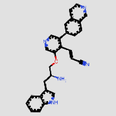 N#C/C=C/c1c(OC[C@@H](N)Cc2c[nH]c3ccccc23)cncc1-c1ccc2cnccc2c1